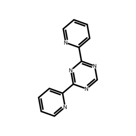 c1ccc(-c2ncnc(-c3ccccn3)n2)nc1